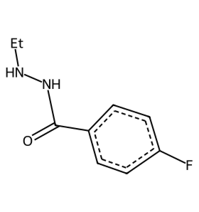 CCNNC(=O)c1ccc(F)cc1